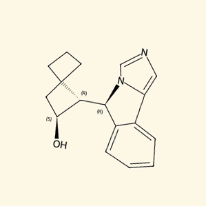 O[C@H]1CC2(CCC2)[C@@H]1[C@@H]1c2ccccc2-c2cncn21